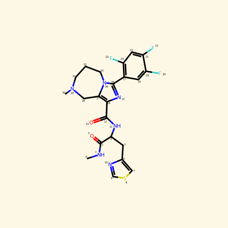 CNC(=O)C(Cc1cscn1)NC(=O)c1nc(-c2cc(F)c(F)cc2F)n2c1CN(C)CCC2